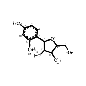 OCC1OC(c2ccc(O)cc2O)C(O)C1O